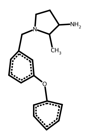 CC1C(N)CCN1Cc1cccc(Oc2ccccc2)c1